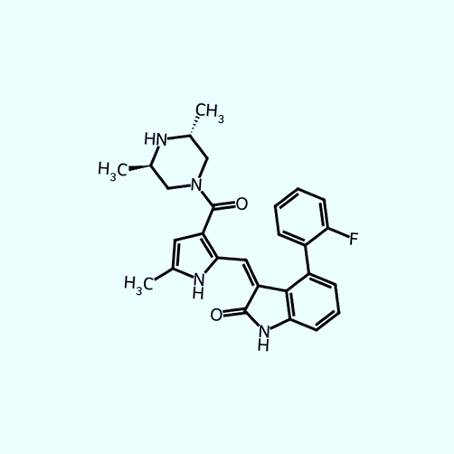 Cc1cc(C(=O)N2C[C@@H](C)N[C@H](C)C2)c(C=C2C(=O)Nc3cccc(-c4ccccc4F)c32)[nH]1